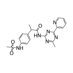 Cc1nc(NC(=O)C(C)c2ccc(NS(C)(=O)=O)cc2)nc(-c2ccccn2)n1